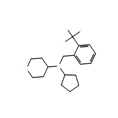 FC(F)(F)c1ccccc1CN(C1CCCC1)C1CCNCC1